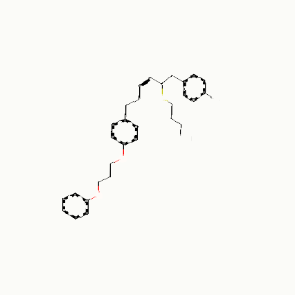 O=C(O)CCCSC(/C=C\CCc1ccc(OCCCOc2ccccc2)cc1)Cc1ccc(C(=O)O)cc1